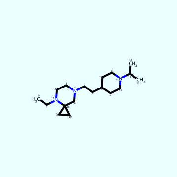 CCN1CCN(CCC2CCN(C(C)C)CC2)CC12CC2